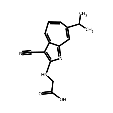 CC(C)c1cccc2c(C#N)c(NCC(=O)O)nc-2c1